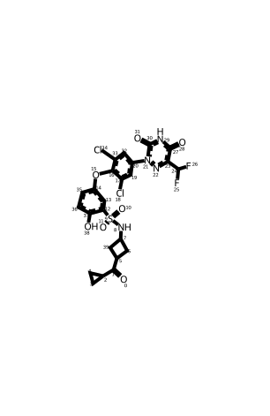 O=C(C1CC1)C1CC(NS(=O)(=O)c2cc(Oc3c(Cl)cc(-n4nc(C(F)F)c(=O)[nH]c4=O)cc3Cl)ccc2O)C1